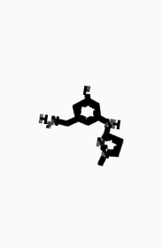 Cn1ccc(Nc2cc(F)cc(CN)c2)n1